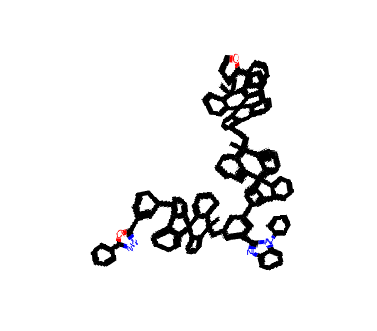 CC1(C)c2ccccc2C2(c3ccccc31)c1cccc(CC3(C)c4ccccc4C4(c5ccccc5-c5cc(-c6cc(CC7(C)c8ccccc8C8(c9ccccc9-c9c(-c%10cccc(-c%11nnc(-c%12ccccc%12)o%11)c%10)cccc98)c8ccccc87)cc(-c7nc8ccccc8n7-c7ccccc7)c6)ccc54)c4ccccc43)c1-c1cccc(-c3cccc(-c4ccco4)c3)c12